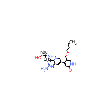 C=CCCOCc1c[nH]c(=O)cc1-c1cnc2c(NC(C)(CO)CCCC)nc(N)nc2c1